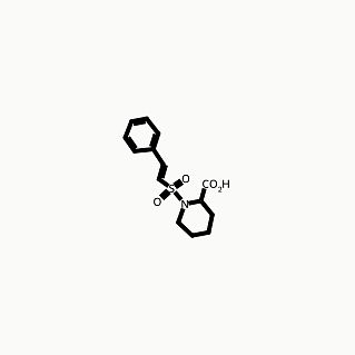 O=C(O)C1CCCCN1S(=O)(=O)C=Cc1ccccc1